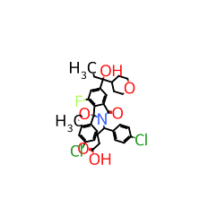 CCC(O)(c1cc(F)c2c(c1)C(=O)N(C(CCC(=O)O)c1ccc(Cl)cc1)[C@@]2(OC)c1ccc(Cl)cc1)C1CCOCC1